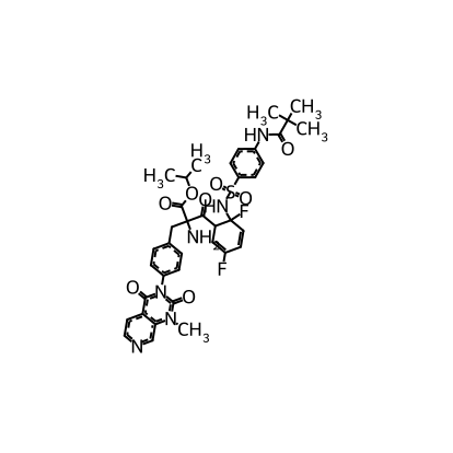 CC(C)OC(=O)C(N)(Cc1ccc(-n2c(=O)c3ccncc3n(C)c2=O)cc1)C(=O)C1C=C(F)C=CC1(F)NS(=O)(=O)c1ccc(NC(=O)C(C)(C)C)cc1